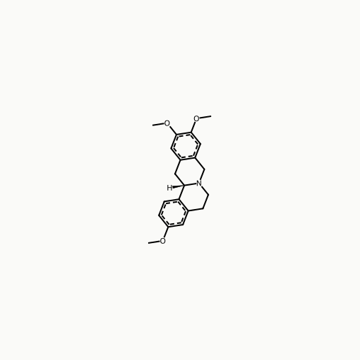 COc1ccc2c(c1)CCN1Cc3cc(OC)c(OC)cc3C[C@@H]21